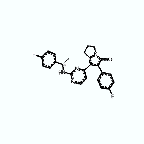 C[C@H](Nc1nccc(-c2c(-c3ccc(F)cc3)c(=O)n3n2CCC3)n1)c1ccc(F)cc1